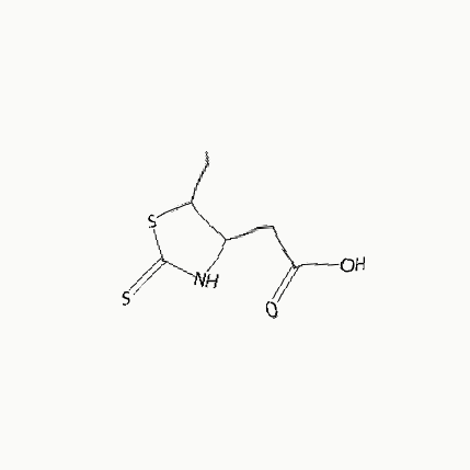 CC1SC(=S)NC1CC(=O)O